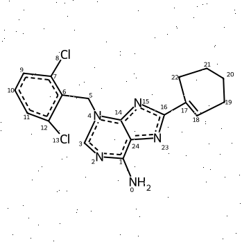 Nc1ncn(Cc2c(Cl)cccc2Cl)c2nc(C3=CCCCC3)nc1-2